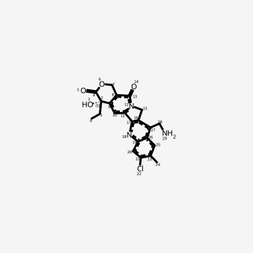 CC[C@@]1(O)C(=O)OCc2c1cc1n(c2=O)Cc2c-1nc1cc(Cl)c(C)cc1c2CN